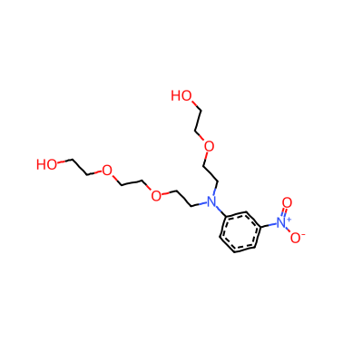 O=[N+]([O-])c1cccc(N(CCOCCO)CCOCCOCCO)c1